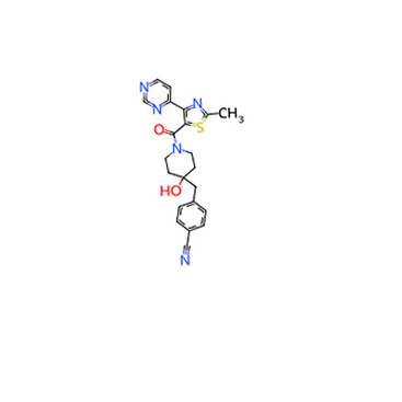 Cc1nc(-c2ccncn2)c(C(=O)N2CCC(O)(Cc3ccc(C#N)cc3)CC2)s1